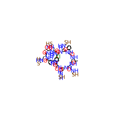 CC(C)C[C@@H]1NC(=O)[C@@H](Cc2ccccc2)NC(=O)[C@H](CCNCS)NC(=O)[C@@H](NC(=O)[C@H](CNCS)NC(=O)[C@@H](NC(=O)[C@H](CCNCS)NC(=O)c2ccnc(-c3cccc(Cl)c3)c2)[C@@H](C)O)CCNC(=O)[C@H]([C@@H](C)O)NC(=O)[C@H](CCNCS)NC(=O)[C@H](CCNCS)NC1=O